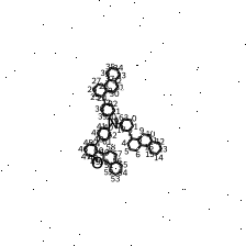 c1cc(-c2cccc3c2ccc2ccccc23)cc(N(c2ccc(-c3cccc4c3ccc3ccccc34)cc2)c2ccc(-c3cccc4oc5c6ccccc6ccc5c34)cc2)c1